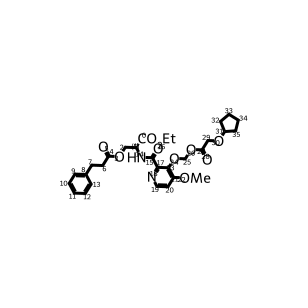 CCOC(=O)[C@H](COC(=O)CCc1ccccc1)NC(=O)c1nccc(OC)c1OCOC(=O)COC1CCCC1